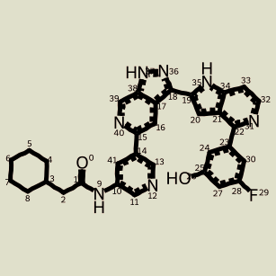 O=C(CC1CCCCC1)Nc1cncc(-c2cc3c(-c4cc5c(-c6cc(O)cc(F)c6)nccc5[nH]4)n[nH]c3cn2)c1